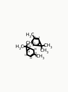 CC1=CC2C(CC1)C2(C)C.CC1=CCC2C(C1)C2(C)C